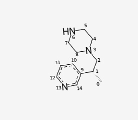 C[C@@H](CN1CCNCC1)c1cccnc1